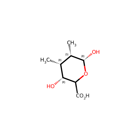 C[C@@H]1[C@H](C)[C@H](O)OC(C(=O)O)[C@@H]1O